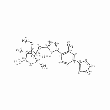 COC1[C@@H](Oc2nnc(-c3ccc(-c4cn[nH]c4)cc3O)s2)[C@@]2(C)CC[C@]1(C)N(C)C2